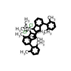 CC1=Cc2c(-c3c(C)cccc3C)ccc(C)c2[CH]1[Zr]([Cl])([Cl])([CH]1C(C(C)C)=Cc2c(-c3c(C)cccc3C)cccc21)[SiH](C)C